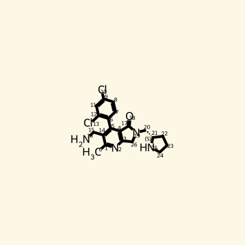 Cc1nc2c(c(-c3ccc(Cl)cc3Cl)c1CN)C(=O)N(C[C@@H]1CCCN1)C2